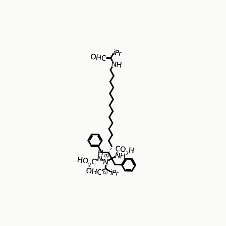 CC(C)C(C=O)NCCCCCCCCCCCCCC[C@@H](Cc1ccccc1)C(Cc1ccccc1)(NC(=O)O)N(NC(=O)O)[C@H](C=O)C(C)C